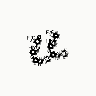 O=C(Nc1ccc(Oc2ccc3ncc(N4CCOCC4)nc3c2)cc1F)c1ccc(Cl)c(C(F)(F)F)c1.O=C(Nc1ccc(Oc2ccc3ncc(N4CCOCC4)nc3c2)cc1F)c1cccc(C(F)(F)F)c1